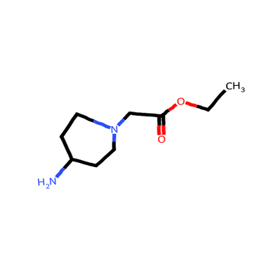 CCOC(=O)CN1CCC(N)CC1